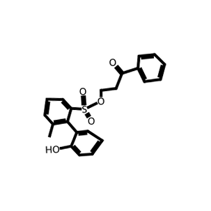 Cc1cccc(S(=O)(=O)OCCC(=O)c2ccccc2)c1-c1ccccc1O